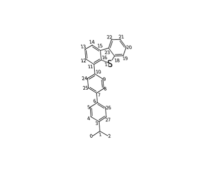 CC(C)c1ccc(-c2ccc(-c3cccc4c3sc3ccccc34)cc2)cc1